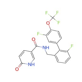 O=C(NCc1cccc(F)c1-c1ccc(OC(F)(F)F)c(F)c1)c1ccc(=O)[nH]c1